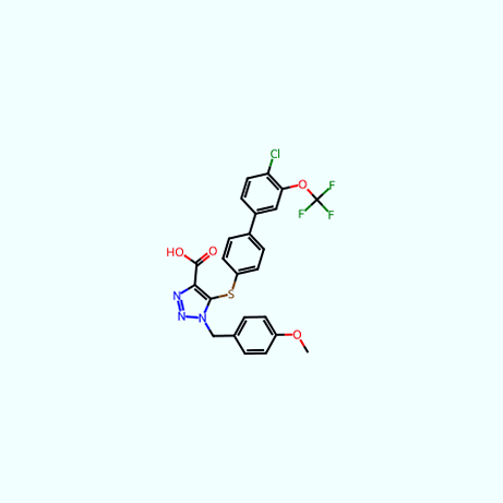 COc1ccc(Cn2nnc(C(=O)O)c2Sc2ccc(-c3ccc(Cl)c(OC(F)(F)F)c3)cc2)cc1